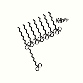 CCCCCCCCCC(=O)[O-].CCCCCCCCCC(=O)[O-].CCCCCCCCCC(=O)[O-].CCCCCCCCCC(=O)[O-].CCCCCCCCCC(=O)[O-].CCCCCCCCCC(=O)[O-].CCCCCCCCCC(=O)[O-].CCCCCCCCCC(=O)[O-].[Nb+4].[Nb+4]